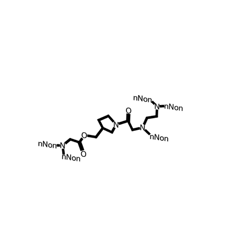 CCCCCCCCCN(CCCCCCCCC)CCN(CCCCCCCCC)CC(=O)N1CCC(COC(=O)CN(CCCCCCCCC)CCCCCCCCC)C1